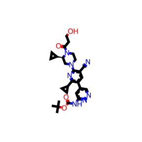 CC(C)(C)OC(=O)Nc1cc(-c2cc(C#N)c(N3CCN(C(=O)CCO)[C@H](C4CC4)C3)nc2C2CC2)cnn1